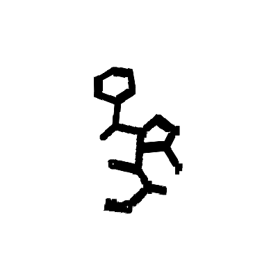 CON(C)C(=O)c1c(F)ncn1C(C)c1ccccc1